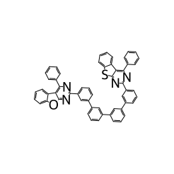 c1ccc(-c2nc(-c3cccc(-c4cccc(-c5cccc(-c6cccc(-c7nc(-c8ccccc8)c8c(n7)sc7ccccc78)c6)c5)c4)c3)nc3oc4ccccc4c23)cc1